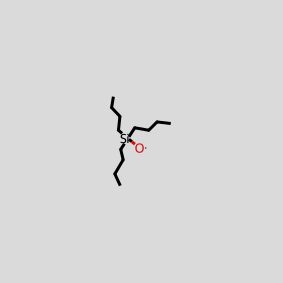 CCCC[Si]([O])(CCCC)CCCC